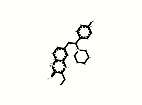 CCc1nc2cc(CC(c3ccc(Cl)cc3)N3CCCCC3)ccc2[nH]c1=O